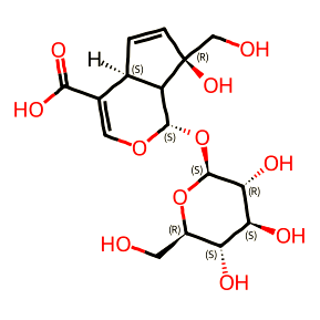 O=C(O)C1=CO[C@@H](O[C@@H]2O[C@H](CO)[C@@H](O)[C@H](O)[C@H]2O)C2[C@@H]1C=C[C@]2(O)CO